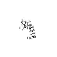 COc1ccc(Cl)cc1C(=O)NCc1ccc(CCC(=O)O)cc1